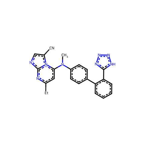 CCc1cc(N(C)c2ccc(-c3ccccc3-c3nnn[nH]3)cc2)n2c(C#N)cnc2n1